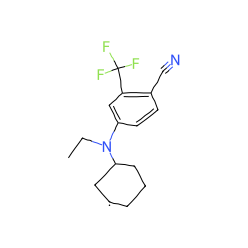 CCN(c1ccc(C#N)c(C(F)(F)F)c1)C1C[CH]CCC1